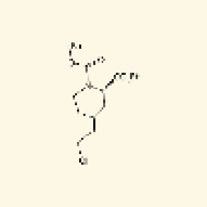 CCOC(=O)[C@H]1C[C@@H](CCO)CCN1C(=O)OC(C)(C)C